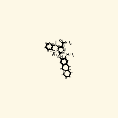 COc1cc2c(cc1Nc1nnc(C(N)=O)c(Nc3ncccc3OC)n1)CN1CCCCC1C2